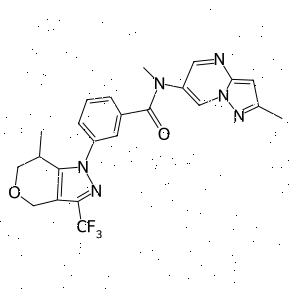 Cc1cc2ncc(N(C)C(=O)c3cccc(-n4nc(C(F)(F)F)c5c4C(C)COC5)c3)cn2n1